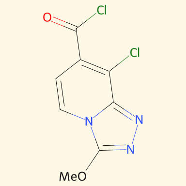 COc1nnc2c(Cl)c(C(=O)Cl)ccn12